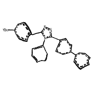 CC(C)(C)c1ccc(-c2nnc(-c3ccc(-c4ccccc4)cc3)n2C2=CC=CCC2)cc1